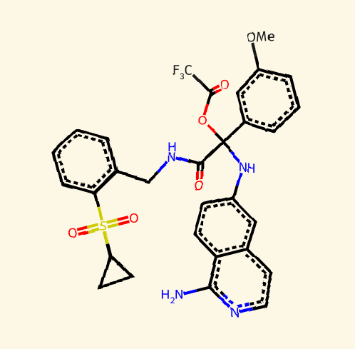 COc1cccc(C(Nc2ccc3c(N)nccc3c2)(OC(=O)C(F)(F)F)C(=O)NCc2ccccc2S(=O)(=O)C2CC2)c1